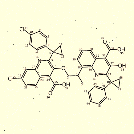 CC(COc1c(C2(c3ccc(Cl)cc3)CC2)nc2cc(Cl)ccc2c1C(=O)O)c1cccc2c(C(=O)O)c(O)c(C3(c4ccccc4)CC3)nc12